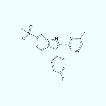 Cc1cccc(-c2nn3cc(S(C)(=O)=O)ccc3c2-c2ccc(F)cc2)n1